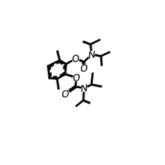 Cc1ccc(C)c(OC(=O)N(C(C)C)C(C)C)c1OC(=O)N(C(C)C)C(C)C